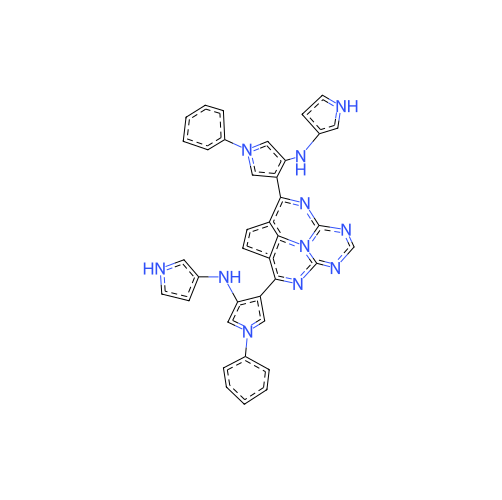 c1ccc(-n2cc(Nc3cc[nH]c3)c(-c3nc4ncnc5nc(-c6cn(-c7ccccc7)cc6Nc6cc[nH]c6)c6ccc3c6n45)c2)cc1